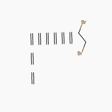 BrCCBr.C=C.C=C.C=C.C=C.C=C.C=C.C=C.C=C